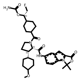 COC1CCC([C@@H]2CCN(C(=O)C3CCC([C@@H](CF)OC(N)=O)CC3)[C@@H]2C(=O)Nc2ccc3c(c2)cc2n3C(C)(C)OC2=O)CC1